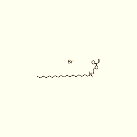 C=CC(=O)OCC[N+](C)(C)CCCCCCCCCCCCCCCCCC.[Br-]